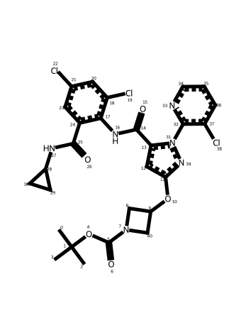 CC(C)(C)OC(=O)N1CC(Oc2cc(C(=O)Nc3c(Cl)cc(Cl)cc3C(=O)NC3CC3)n(-c3ncccc3Cl)n2)C1